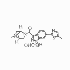 Cc1cnc(-c2ccc3c(C(=O)N4C[C@@H]5C[C@H]4CN5C)n[nH]c3c2)s1.O=CO